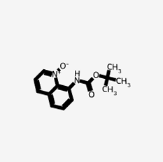 CC(C)(C)OC(=O)Nc1cccc2ccc[n+]([O-])c12